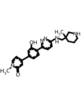 Cn1ccc(-c2ccc(-c3ccc(NCC4(C)CCCNC4)nn3)c(O)c2)cc1=O